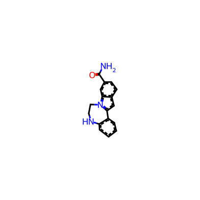 NC(=O)c1ccc2cc3n(c2c1)CCNc1ccccc1-3